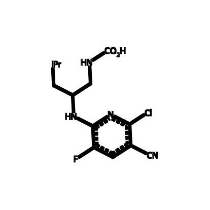 CC(C)CC(CNC(=O)O)Nc1nc(Cl)c(C#N)cc1F